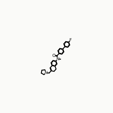 CN(C(=O)c1ccc(-c2ccc(F)cc2)cc1)c1ccc2c(c1)CCC(CN1CCCC1)=C2